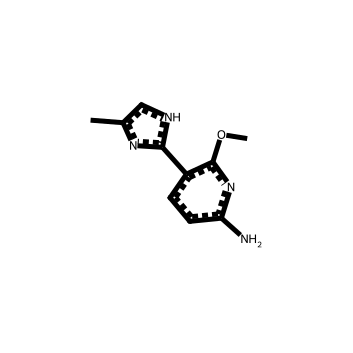 COc1nc(N)ccc1-c1nc(C)c[nH]1